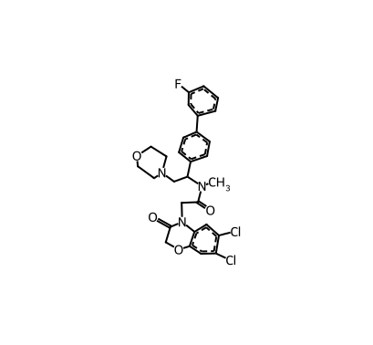 CN(C(=O)CN1C(=O)COc2cc(Cl)c(Cl)cc21)C(CN1CCOCC1)c1ccc(-c2cccc(F)c2)cc1